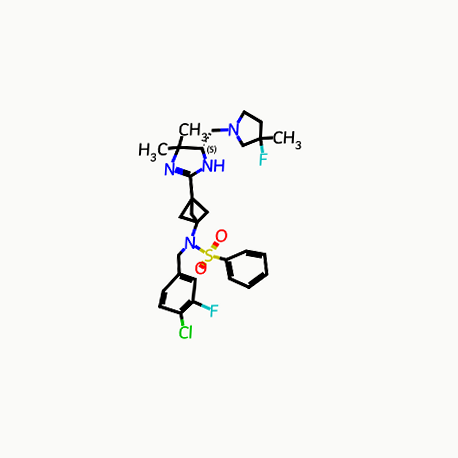 CC1(F)CCN(C[C@@H]2NC(C34CC(N(Cc5ccc(Cl)c(F)c5)S(=O)(=O)c5ccccc5)(C3)C4)=NC2(C)C)C1